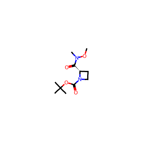 CON(C)C(=O)[C@@H]1CCN1C(=O)OC(C)(C)C